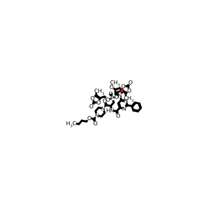 CCCCOC(=O)N1CCN(C(=O)C(CP(=O)(OCc2oc(=O)oc2C)OCc2oc(=O)oc2C)NC(=O)c2cc(N3CCC(OC)C3)nc(-c3ccccc3)n2)CC1